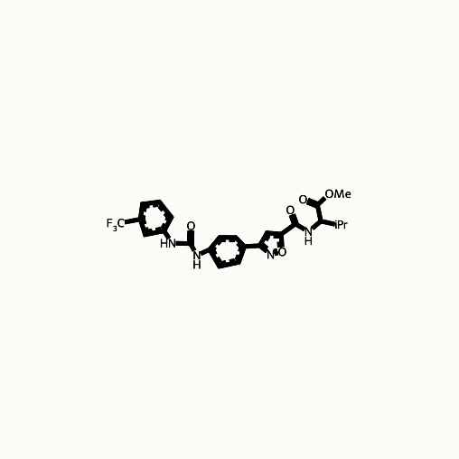 COC(=O)C(NC(=O)c1cc(-c2ccc(NC(=O)Nc3cccc(C(F)(F)F)c3)cc2)no1)C(C)C